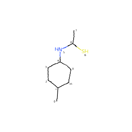 CC1CCC(NC(C)S)CC1